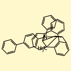 CC1(N(c2ccccc2)c2ccc(-c3ccccc3)cc2)CCCC2c3cccc4c3-c3ccccc3C3=C(C4=CCC=C3)C21